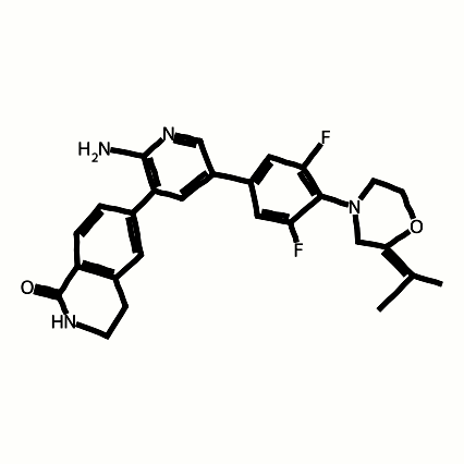 CC(C)=C1CN(c2c(F)cc(-c3cnc(N)c(-c4ccc5c(c4)CCNC5=O)c3)cc2F)CCO1